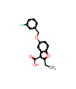 CCc1oc2ccc(OCc3cccc(F)c3)cc2c1C(=O)O